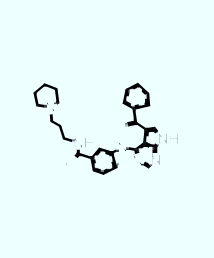 O=C(NCCCN1CCCCC1)c1cccc(Nc2ncnc3[nH]cc(C(=O)c4ccccc4)c23)c1